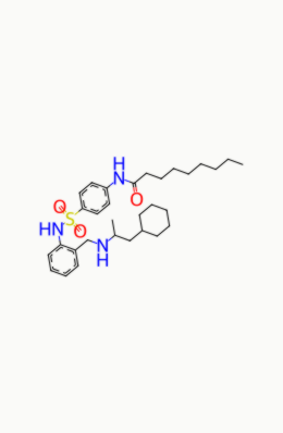 CCCCCCCCC(=O)Nc1ccc(S(=O)(=O)Nc2ccccc2CNC(C)CC2CCCCC2)cc1